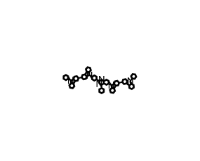 c1ccc(-c2nc(-c3ccc(-n4c5ccccc5c5cc(-c6ccc7c(c6)c6ccccc6n7-c6ccccc6)ccc54)cc3)nc3ccc(-n4c5ccccc5c5cc(-c6ccc7c(c6)c6ccccc6n7-c6ccccc6)ccc54)cc23)cc1